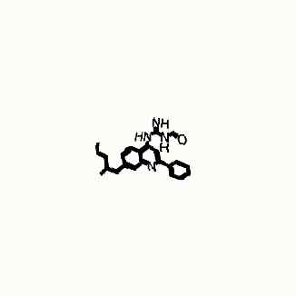 CCCC(C)Cc1ccc2c(NC(=N)NC=O)cc(-c3ccccc3)nc2c1